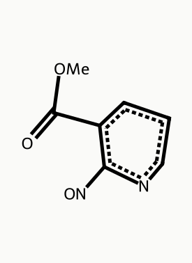 COC(=O)c1cccnc1N=O